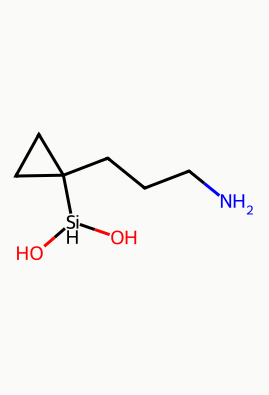 NCCCC1([SiH](O)O)CC1